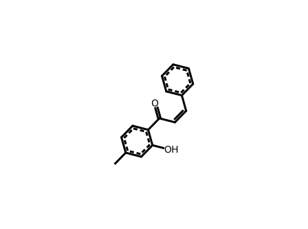 Cc1ccc(C(=O)/C=C\c2ccccc2)c(O)c1